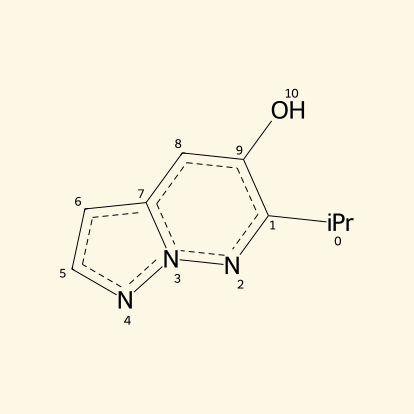 CC(C)c1nn2nccc2cc1O